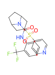 O=C(Nc1ccccc1C(F)(F)F)N1C2CCC1CC(S(=O)(=O)c1ccncc1)C2